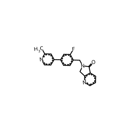 Cc1cc(-c2ccc(CN3Cc4ncccc4C3=O)c(F)c2)ccn1